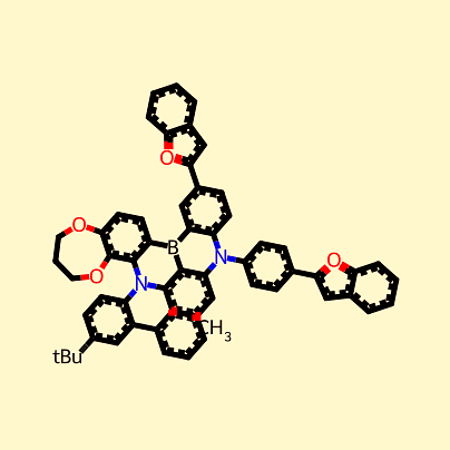 Cc1cc2c3c(c1)N(c1ccc(C(C)(C)C)cc1-c1ccccc1)c1c(ccc4c1OCCCO4)B3c1cc(-c3cc4ccccc4o3)ccc1N2c1ccc(-c2cc3ccccc3o2)cc1